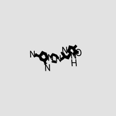 Cc1cc2ncc(CN3CCN(c4ccc(C#N)cc4C#N)CC3)cc2[nH]c1=O